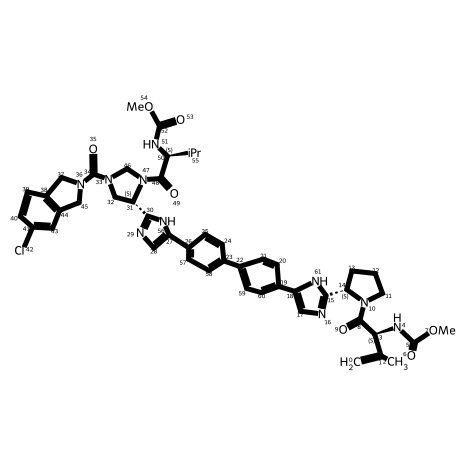 C=C(C)[C@H](NC(=O)OC)C(=O)N1CCC[C@H]1c1ncc(-c2ccc(-c3ccc(-c4cnc([C@@H]5CN(C(=O)N6Cc7ccc(Cl)cc7C6)CN5C(=O)[C@@H](NC(=O)OC)C(C)C)[nH]4)cc3)cc2)[nH]1